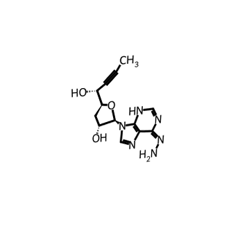 CC#C[C@@H](O)[C@@H]1C[C@@H](O)[C@H](n2cnc3/c(=N\N)nc[nH]c32)O1